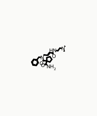 CN(C)CCNC(=O)C=CCN(Cc1ccccc1)C(=O)C1(C(N)=O)CCCC1